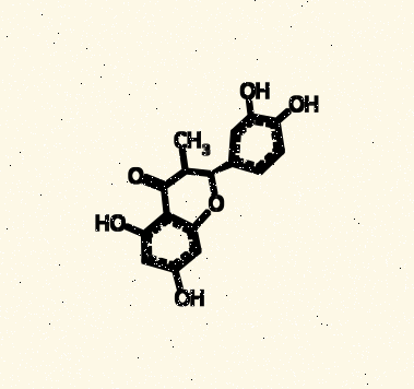 CC1C(=O)c2c(O)cc(O)cc2O[C@@H]1c1ccc(O)c(O)c1